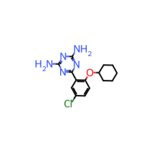 Nc1nc(N)nc(-c2cc(Cl)ccc2OC2CCCCC2)n1